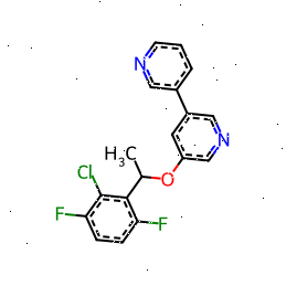 CC(Oc1cncc(-c2cccnc2)c1)c1c(F)ccc(F)c1Cl